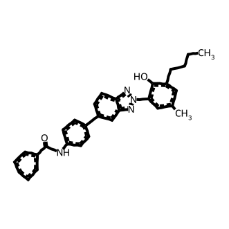 CCCCc1cc(C)cc(-n2nc3ccc(-c4ccc(NC(=O)c5ccccc5)cc4)cc3n2)c1O